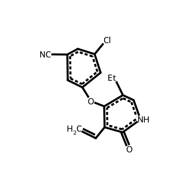 C=Cc1c(Oc2cc(Cl)cc(C#N)c2)c(CC)c[nH]c1=O